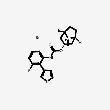 C[N+]1(C)[C@@H]2CC[C@H]1C[C@@H](OC(=O)Nc1cccc(F)c1-c1ccsc1)C2.[Br-]